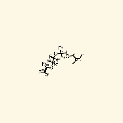 CCC(C)COCC(F)(F)OC(F)(F)C(F)(F)OC(F)=C(F)F